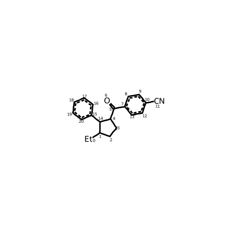 [CH2]CC1C[CH]C(C(=O)c2ccc(C#N)cc2)C1c1ccccc1